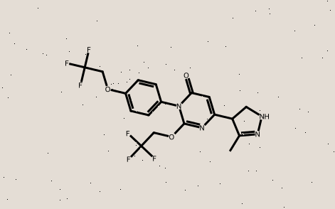 CC1=NNCC1c1cc(=O)n(-c2ccc(OCC(F)(F)F)cc2)c(OCC(F)(F)F)n1